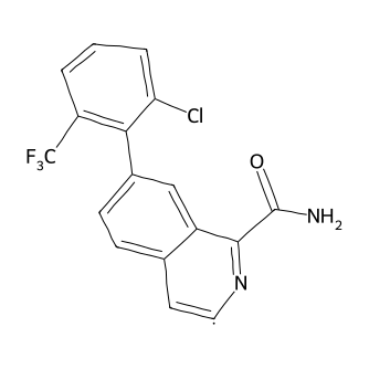 NC(=O)c1n[c]cc2ccc(-c3c(Cl)cccc3C(F)(F)F)cc12